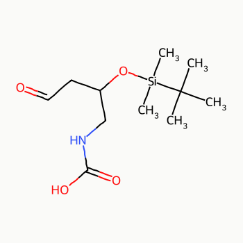 CC(C)(C)[Si](C)(C)OC(CC=O)CNC(=O)O